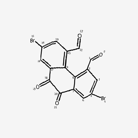 O=Cc1cc(Br)cc2c1-c1c(C=O)cc(Br)cc1C(=O)C2=O